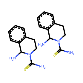 NC(=S)N1CCc2ccccc2C1N.NC(=S)N1CCc2ccccc2C1N